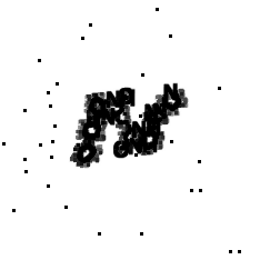 O=C1C[C@@H](CC[C@@H]2CC(=O)Nc3cccc(-c4cnn(-c5cccnc5)c4)c3N2)Nc2c(cccc2-c2ccc(-c3ccccc3)cc2)N1